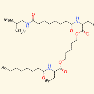 CNC(CNC(=O)CCCCCCC(=O)NC(CC(C)C)C(=O)OCCCCCOC(=O)C(CC(C)C)NC(=O)CCCCCCC(C)=O)C(=O)O